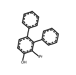 CC(C)c1c(O)ccc(-c2ccccc2)c1-c1ccccc1